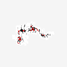 CCCC(=O)OCN(C(=O)[C@@H](NC(=O)[C@H]1CCCCN1C)C(C)CC)[C@H](CCc1nc(C(=O)N[C@@H](Cc2ccc(O)cc2)C[C@H](C)C(=O)NNC(=O)OCCSSC(C)(C)[C@@H](NC(=O)[C@@H](CC(=O)O)NC(=O)[C@@H](CC(=O)O)NC(=O)Cc2ccc(CNC(=O)NCCCC[C@@H](C)NC(=O)N[C@@H](CCCC(=O)O)C(=O)O)cc2)C(=O)O)cs1)C(C)C